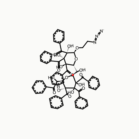 [N-]=[N+]=NCCO[C@H]1O[C@H](C(O)[C@@H]2O[C@H](C(O)C(=O)c3ccccc3)[C@](O)(C(=O)c3ccccc3)[C@@](O)(C(=O)c3ccccc3)[C@@]2(O)C(=O)c2ccccc2)[C@](O)(C(=O)c2ccccc2)[C@@](O)(C(=O)c2ccccc2)[C@@]1(O)C(=O)c1ccccc1